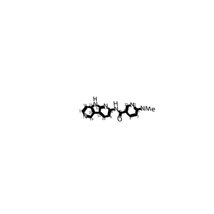 CNc1ccc(C(=O)Nc2ccc3c(n2)[nH]c2ccncc23)cn1